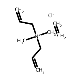 C=C.C=CC[N+](C)(C)CC=C.[Cl-]